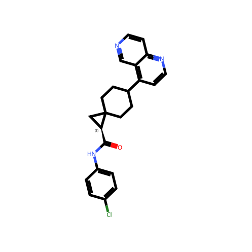 O=C(Nc1ccc(Cl)cc1)[C@H]1CC12CCC(c1ccnc3ccncc13)CC2